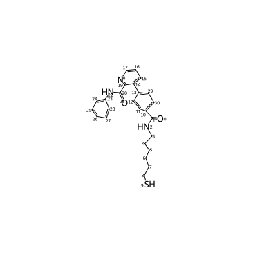 O=C(NCCCCCCS)c1ccc(-c2cccnc2C(=O)Nc2ccccc2)cc1